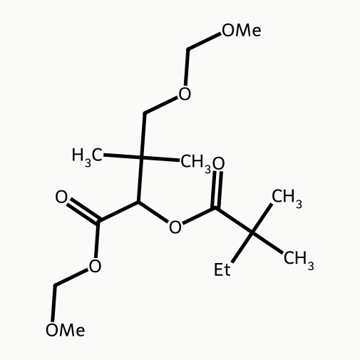 CCC(C)(C)C(=O)OC(C(=O)OCOC)C(C)(C)COCOC